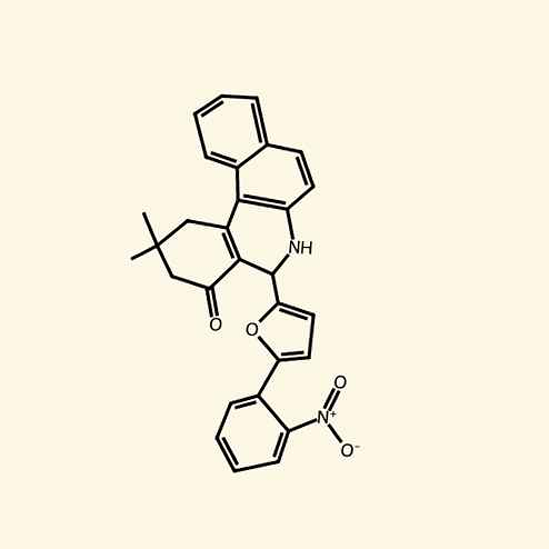 CC1(C)CC(=O)C2=C(C1)c1c(ccc3ccccc13)NC2c1ccc(-c2ccccc2[N+](=O)[O-])o1